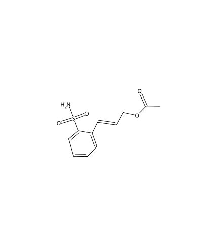 CC(=O)OC/C=C/c1ccccc1S(N)(=O)=O